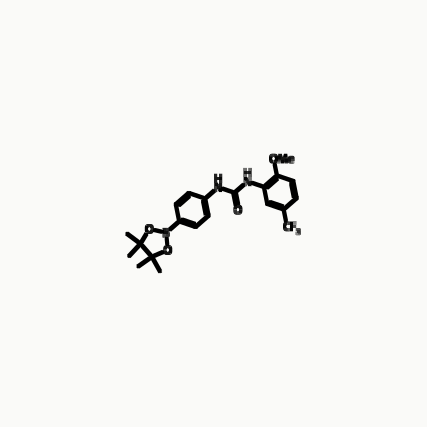 COc1ccc(C(F)(F)F)cc1NC(=O)Nc1ccc(B2OC(C)(C)C(C)(C)O2)cc1